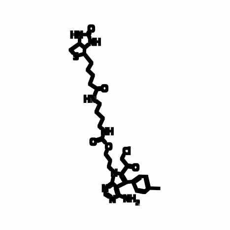 Cc1ccc(-c2c(C(=O)CCl)n(CCCOC(=O)NCCCCNC(=O)CCCCC3SCC4NC(=O)NC43)c3ncnc(N)c23)cc1